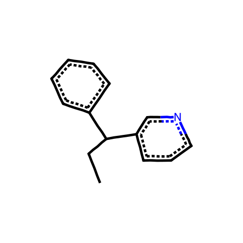 CCC(c1ccccc1)c1cccnc1